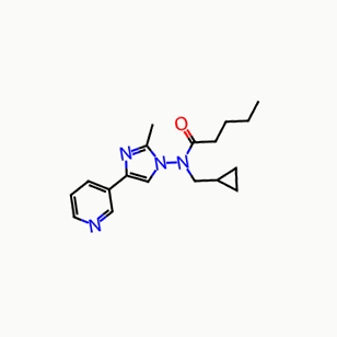 CCCCC(=O)N(CC1CC1)n1cc(-c2cccnc2)nc1C